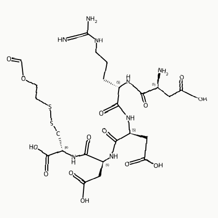 N=C(N)NCCC[C@H](NC(=O)[C@@H](N)CC(=O)O)C(=O)N[C@@H](CC(=O)O)C(=O)N[C@@H](CC(=O)O)C(=O)N[C@@H](CSSCCOC=O)C(=O)O